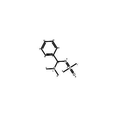 CN(C)C(N=S(C)(C)=O)c1ccccc1